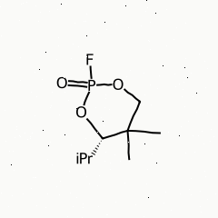 CC(C)[C@@H]1OP(=O)(F)OCC1(C)C